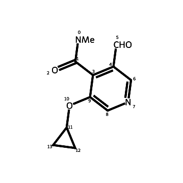 CNC(=O)c1c(C=O)cncc1OC1CC1